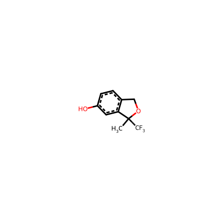 CC1(C(F)(F)F)OCc2ccc(O)cc21